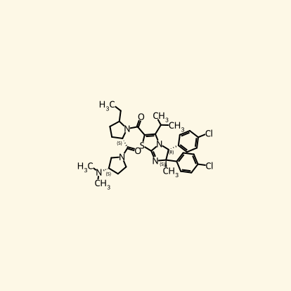 CCC1CC[C@@H](C(=O)N2CC[C@H](N(C)C)C2)N1C(=O)C1=C(C(C)C)N2C(=N[C@@](C)(c3ccc(Cl)cc3)[C@H]2c2ccc(Cl)cc2)S1